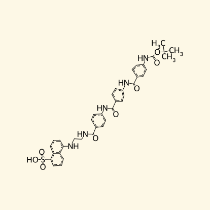 CC(C)(C)OC(=O)Nc1ccc(C(=O)Nc2ccc(C(=O)Nc3ccc(C(=O)NCCNc4cccc5c(S(=O)(=O)O)cccc45)cc3)cc2)cc1